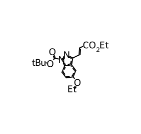 CCOC(=O)C=Cc1nn(C(=O)OC(C)(C)C)c2ccc(OCC)cc12